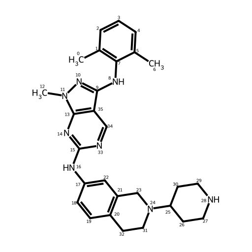 Cc1cccc(C)c1Nc1nn(C)c2nc(Nc3ccc4c(c3)CN(C3CCNCC3)CC4)ncc12